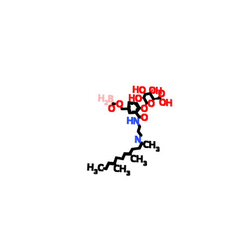 BC(=O)OCc1ccc(O[C@@H]2O[C@H](C(=O)O)[C@@H](O)[C@H](O)[C@H]2O)c(C(=O)NCCC/N=C(\C)CC/C(C)=C/CC/C(C)=C/CC)c1